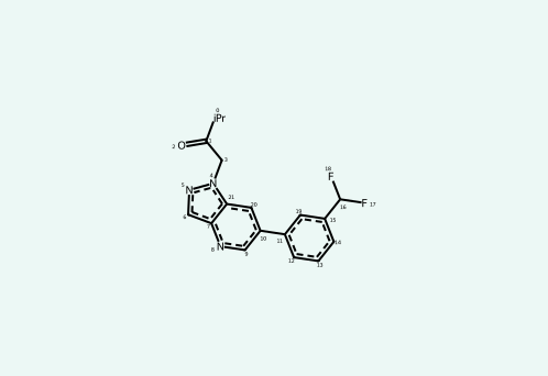 CC(C)C(=O)Cn1ncc2ncc(-c3cccc(C(F)F)c3)cc21